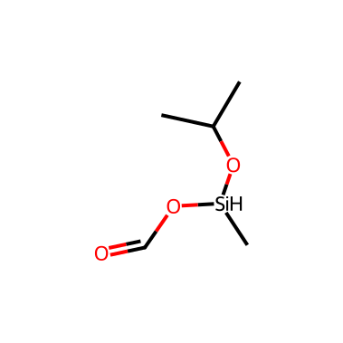 CC(C)O[SiH](C)OC=O